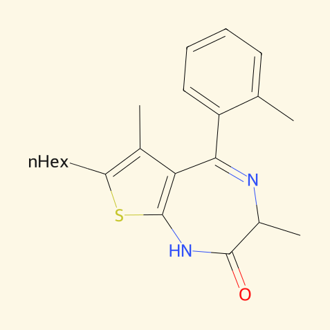 CCCCCCc1sc2c(c1C)C(c1ccccc1C)=NC(C)C(=O)N2